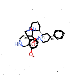 COc1cccc2c1CNCC[C@]21CNCC1C(=O)N1CC[C@@H](c2ccccc2)C[C@H]1C1CCCCC1